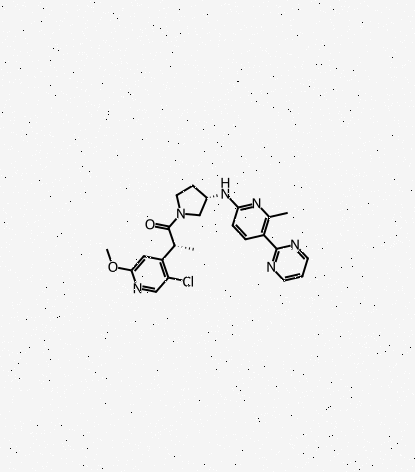 COc1cc([C@@H](C)C(=O)N2CC[C@H](Nc3ccc(-c4ncccn4)c(C)n3)C2)c(Cl)cn1